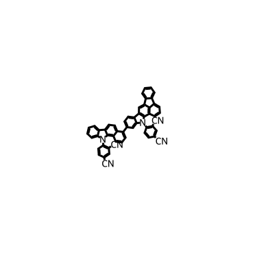 N#Cc1ccc(-n2c3ccccc3c3ccc4c(-c5ccc6c7cc8c9c(cccc9c7n(-c7ccc(C#N)cc7C#N)c6c5)-c5ccccc5-8)cccc4c32)c(C#N)c1